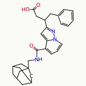 O=C(O)CC(Cc1ccccc1)c1cc2c(C(=O)NCC34CC5CC(CC(C5)C3)C4)cccn2n1